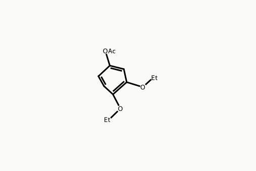 CCOc1ccc(OC(C)=O)cc1OCC